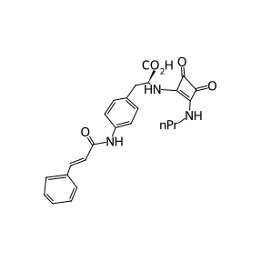 CCCNc1c(N[C@@H](Cc2ccc(NC(=O)C=Cc3ccccc3)cc2)C(=O)O)c(=O)c1=O